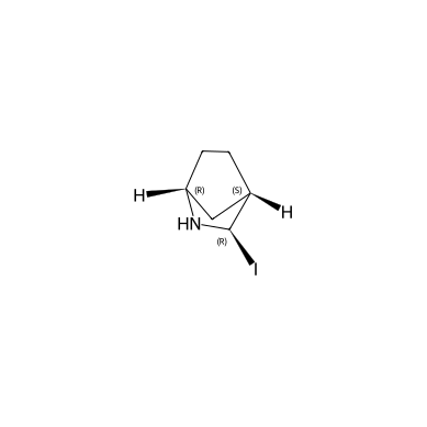 I[C@H]1N[C@@H]2CC[C@H]1C2